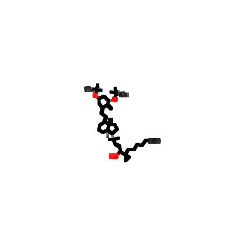 C=C1/C(=C\C=C2/CCC[C@]3(C)[C@@H](C(C)(C)/C=C/C(O)C4(CCCCCC=O)CC4)CC[C@@H]23)C[C@@H](O[Si](C)(C)C(C)(C)C)C[C@@H]1O[Si](C)(C)C(C)(C)C